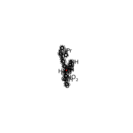 CC(C)Oc1ccccc1[C@@H]1CN(Cc2ccccc2)CCN1C1CC2(CCN(c3ccc(C(=O)NS(=O)(=O)c4cc5c(c([N+](=O)[O-])c4)N[C@H](C4CCOCC4)CO5)c(N4c5cc6cc[nH]c6nc5O[C@H]5COCC[C@@H]54)c3)CC2)C1